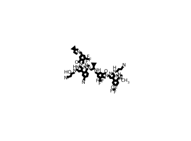 Cn1cnnc1-c1ccc(OC(F)(F)F)cc1-c1cc(NCCCC#N)nc(N2Cc3c(cc(CNC(Cn4cnnc4-c4ccc(C#N)cc4-c4cc(NC[C@H](O)CC#N)nc(N5Cc6c(cc(CN7CCC8(CC8)C7)cc6C(F)(F)F)C5=O)c4)C4CC4)cc3C(F)(F)F)C2=O)c1